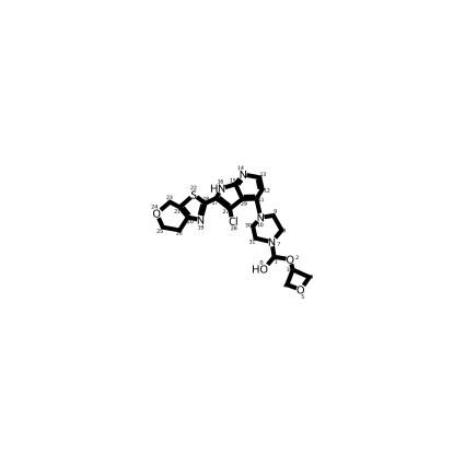 OC(OC1COC1)N1CCN(c2ccnc3[nH]c(-c4nc5c(s4)COCC5)c(Cl)c23)CC1